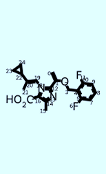 C=C(OCc1c(F)cccc1F)c1nc(C)c(C(=O)O)n1/C=C(\C)C1CC1